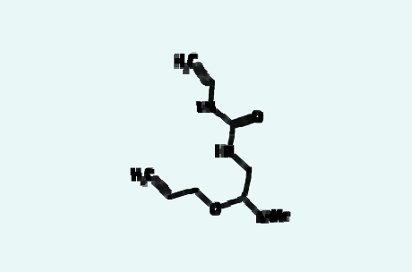 C=CCOC(CNC(=O)NC=C)NC(C)=O